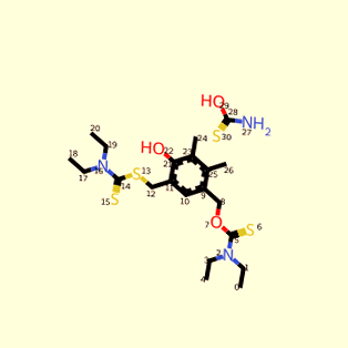 CCN(CC)C(=S)OCc1cc(CSC(=S)N(CC)CC)c(O)c(C)c1C.NC(O)=S